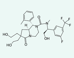 Cc1ccccc1[C@H]1[C@@H]2CC(CCO)(CCO)C(=O)N2CCN1C(=O)N(C)[C@H](CO)c1cc(F)cc(C(F)(F)F)c1